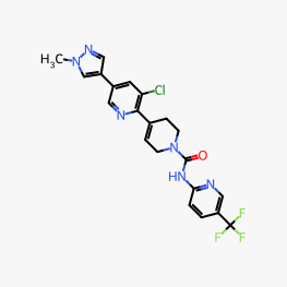 Cn1cc(-c2cnc(C3=CCN(C(=O)Nc4ccc(C(F)(F)F)cn4)CC3)c(Cl)c2)cn1